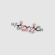 C=C(C)C(=O)OCC(O)COC(=O)C(C)(CC(C)C)C(C)C